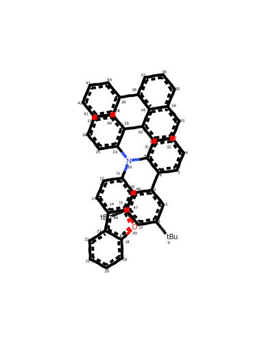 CC(C)(C)c1cc(-c2ccccc2N(c2ccc3c(c2)oc2ccccc23)c2ccccc2-c2cccc3cccc(-c4ccccc4)c23)cc(C(C)(C)C)c1